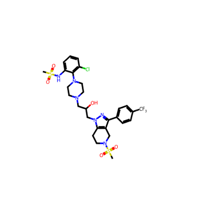 CS(=O)(=O)Nc1cccc(Cl)c1N1CCN(CC(O)Cn2nc(-c3ccc(C(F)(F)F)cc3)c3c2CCN(S(C)(=O)=O)C3)CC1